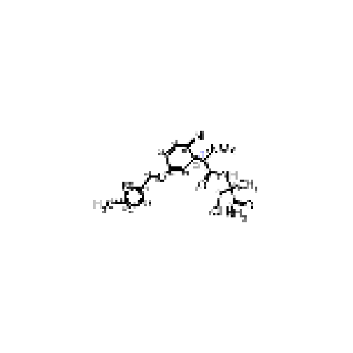 CN/C(C(=O)NC(C)(CO)C(N)=O)=C1/C=C(OCc2csc(C)n2)C=CC1=N